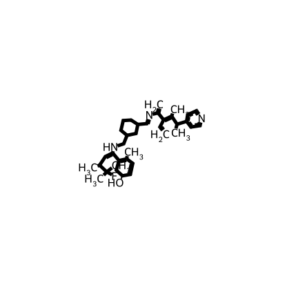 C=C/C(C(=C)/N=C/C1CCCC(CN/C(=C/C(C)C(C)(C)F)C2=C(C)C=C[C@H](O)C2)C1)=C(/C)C(C)c1ccncc1